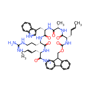 CC=CC[C@H](NC(=O)OCC1c2ccccc2-c2ccccc21)C(=O)N[C@@H](C)C(=O)N[C@@H](Cc1c[nH]c2ccccc12)C(=O)N[C@@H](CCCNC(=N)N)C(=O)N[C@@H](C/C=C/C)C(N)=O